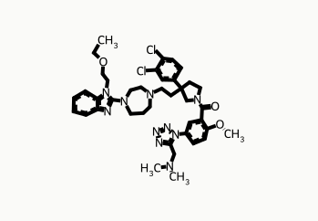 CCOCCn1c(N2CCCN(CCC3(c4ccc(Cl)c(Cl)c4)CCN(C(=O)c4cc(-n5nnnc5CN(C)C)ccc4OC)C3)CC2)nc2ccccc21